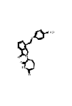 O=Cc1ccc(OCc2cccc3c2CN(C2CCCC(=O)NC2=O)C3=O)cc1